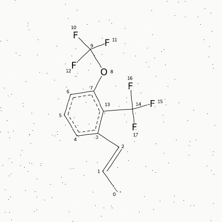 [CH2]C=Cc1cccc(OC(F)(F)F)c1C(F)(F)F